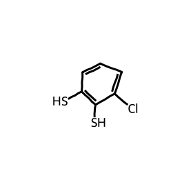 Sc1cccc(Cl)c1S